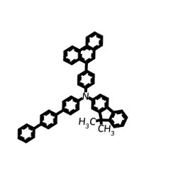 CC1(C)c2ccccc2-c2ccc(N(c3ccc(-c4ccc(-c5ccccc5)cc4)cc3)c3ccc(-c4cc5ccccc5c5ccccc45)cc3)cc21